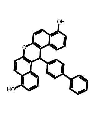 Oc1cccc2c3c(ccc12)Oc1ccc2c(O)cccc2c1C3c1ccc(-c2ccccc2)cc1